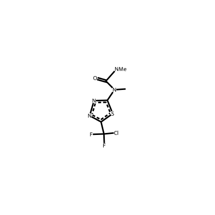 CNC(=O)N(C)c1nnc(C(F)(F)Cl)s1